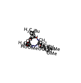 CCC(C)[C@H]1O[C@]2(C=C[C@@H]1C)C[C@@H]1C[C@@H](C/C=C(\C)[C@@H](O[C@H]3C[C@H](OC)[C@@H](O[C@H]4C[C@H](OC)[C@@H](ONC)[C@H](C)O4)[C@H](C)O3)[C@@H](C)/C=C/C=C3\CO[C@@H]4[C@H](O)C(C)=C[C@@H](C(=O)O1)[C@]34O)O2